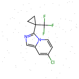 FC(F)(F)C1(c2ncc3cc(Cl)ccn23)CC1